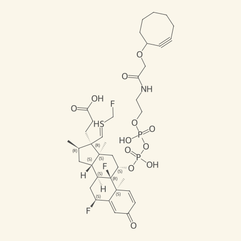 C[C@@H]1C[C@H]2[C@@H]3C[C@H](F)C4=CC(=O)C=C[C@]4(C)[C@@]3(F)[C@@H](OP(=O)(O)OP(=O)(O)OCCNC(=O)COC3C#CCCCCC3)C[C@]2(C)[C@@]1(C=[SH]CF)CCC(=O)O